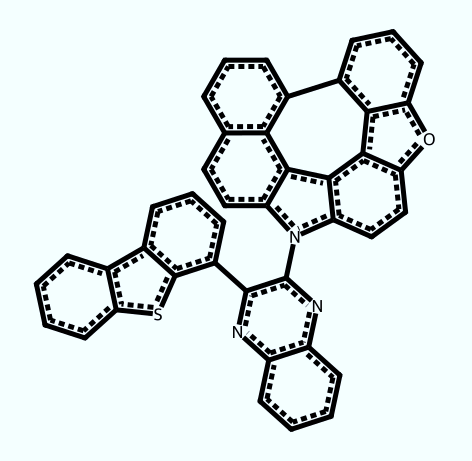 c1cc2c3c(c1)ccc1c3c3c4c(ccc3n1-c1nc3ccccc3nc1-c1cccc3c1sc1ccccc13)oc1cccc-2c14